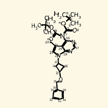 CC(C)(C)OC(=O)N(C(=O)OC(C)(C)C)c1ncnc2c1c(I)cn2C1CC(OCc2ccccc2)C1